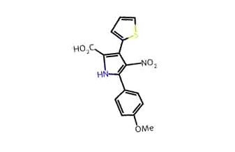 COc1ccc(-c2[nH]c(C(=O)O)c(-c3cccs3)c2[N+](=O)[O-])cc1